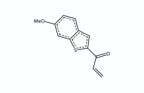 C=CC(=O)c1cc2ccc(OC)cc2s1